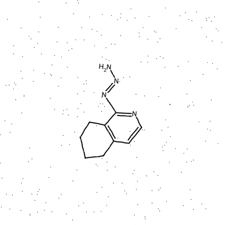 NN=Nc1nccc2c1CCCC2